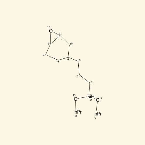 CCCO[SiH](CCCC1CCC2OC2C1)OCCC